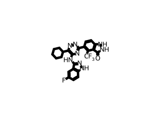 O=c1[nH][nH]c2ccc(-c3nnc(C4CCCCC4)c(Nc4n[nH]c5ccc(F)cc45)n3)c(C(F)(F)F)c12